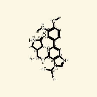 COc1ccc(-c2cc3ncn(C(F)F)c3c(O[C@H](C)C3CNC(=O)C3)n2)cc1OC